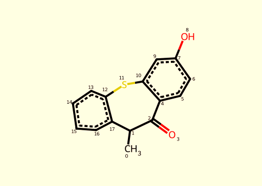 CC1C(=O)c2ccc(O)cc2Sc2ccccc21